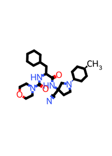 C[C@H]1CC[C@H](N2CCC(C#N)(NC(=O)C(CC3CCCCC3)NC(=O)N3CCOCC3)C2)CC1